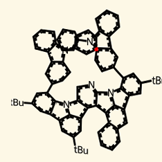 CC(C)(C)c1cc(-c2ccc3c(c2)c2ccccc2n3-c2ccccc2)c2c(c1)c1cc(C(C)(C)C)cc3c4c5c6c7ccccc7cc7c8cc(C(C)(C)C)cc(-c9ccc%10c(c9)c9ccccc9n%10-c9ccccc9)c8n(c5ncc4n2c13)c76